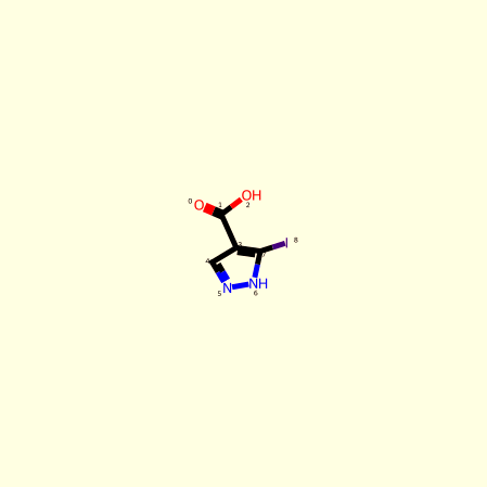 O=C(O)c1cn[nH]c1I